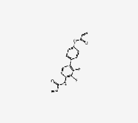 C=CC(=O)Oc1ccc(-c2ccc(OC(=O)C=C)c(F)c2F)cc1